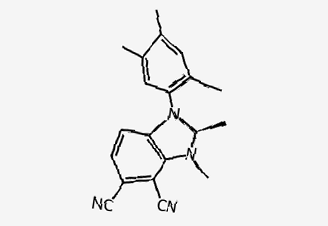 Cc1cc(C)c(N2c3ccc(C#N)c(C#N)c3N(C)[C@@H]2C)cc1C